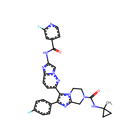 CC1(NC(=O)N2CCn3c(nc(-c4ccc(F)cc4)c3-c3ccc4nc(NC(=O)c5ccnc(F)c5)cn4n3)C2)CC1